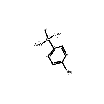 CC(=O)O[Si](C)(OC(C)=O)c1ccc(C(C)(C)C)cc1